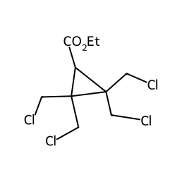 CCOC(=O)C1C(CCl)(CCl)C1(CCl)CCl